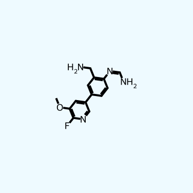 COc1cc(-c2ccc(/N=C\N)c(CN)c2)cnc1F